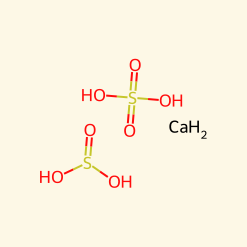 O=S(=O)(O)O.O=S(O)O.[CaH2]